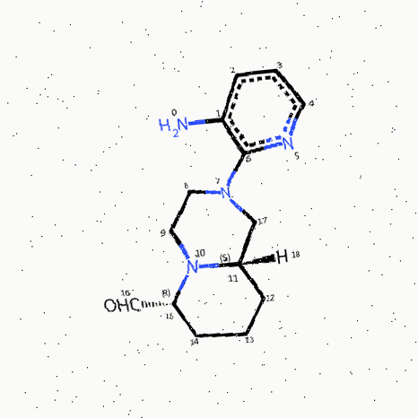 Nc1cccnc1N1CCN2[C@@H](CCC[C@@H]2C=O)C1